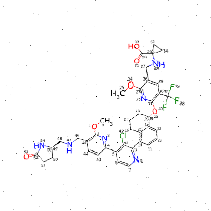 COc1nc(-c2ccnc(-c3cccc4c3CCC[C@@H]4Oc3nc(OC)c(CNC4(C(=O)O)CC4)cc3C(F)(F)F)c2Cl)ccc1CNC[C@H]1CCC(=O)N1